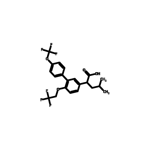 CC(C)CC(C(=O)O)c1ccc(OCC(F)(F)F)c(-c2ccc(OC(F)(F)F)cc2)c1